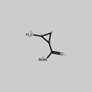 CNC(=O)C1CC1C